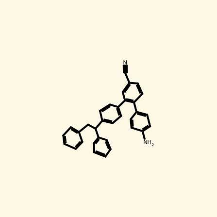 N#Cc1ccc(-c2ccc(N)cc2)c(-c2ccc(C(Cc3ccccc3)c3ccccc3)cc2)c1